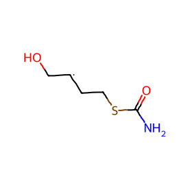 NC(=O)SCC[CH]CO